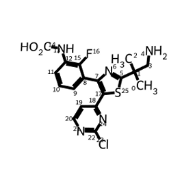 CC(C)(CN)c1nc(-c2cccc(NC(=O)O)c2F)c(-c2ccnc(Cl)n2)s1